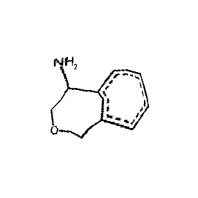 NC1COCc2ccccc21